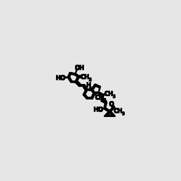 C=C1/C(=C\C=C2/CCC[C@]3(C)[C@@H]([C@H](C)/C=C/[C@H](O)C4(C(C)=O)CC4)CC[C@@H]23)C[C@@H](O)C[C@@H]1O